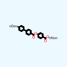 CCCCCCCCCCc1ccc(-c2ccc(C(=O)Oc3ccc(C(=O)OCCCCCCCCC)cc3)cc2)cc1